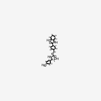 O=C(N[C@H](CO)c1ccc(O)cc1)OCc1ccc(C(=O)Nc2ccccc2S)cc1